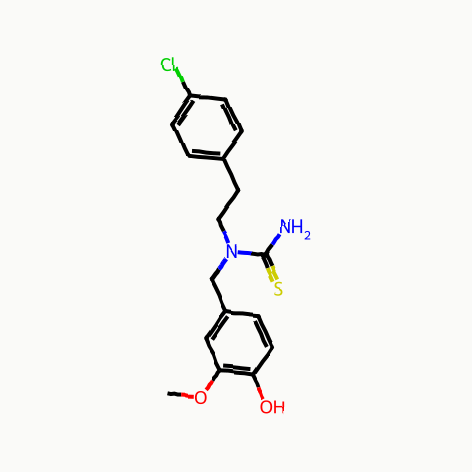 COc1cc(CN(CCc2ccc(Cl)cc2)C(N)=S)ccc1O